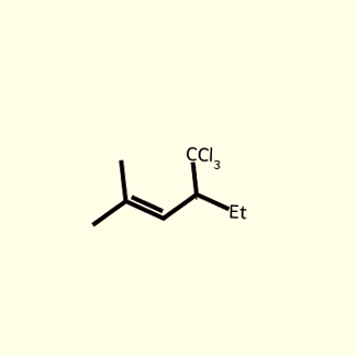 CC[C](C=C(C)C)C(Cl)(Cl)Cl